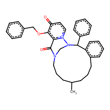 CC1CCCc2ccccc2C(c2ccccc2)N2CN(CCC1)C(=O)c1c(OCc3ccccc3)c(=O)ccn12